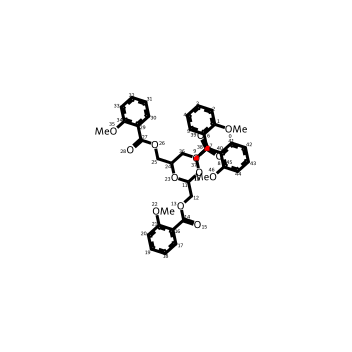 COc1ccccc1C(=O)COC(COC(=O)c1ccccc1OC)OC(COC(=O)c1ccccc1OC)COC(=O)c1ccccc1OC